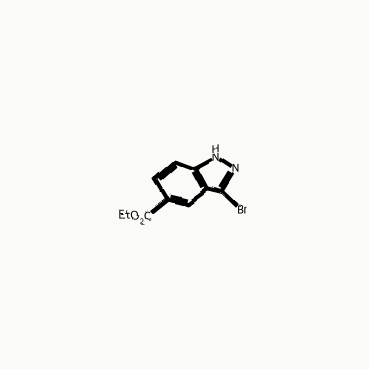 CCOC(=O)c1ccc2[nH]nc(Br)c2c1